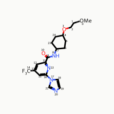 COCCOC1CCC(NC(=O)c2cc(C(F)(F)F)cc(-n3ccnc3)n2)CC1